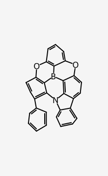 c1ccc(-c2ccc3c4c2-n2c5ccccc5c5ccc6c(c52)B4c2c(cccc2O6)O3)cc1